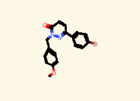 COc1ccc(Cn2nc(-c3ccc(Br)cc3)ccc2=O)cc1